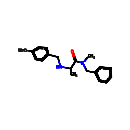 COc1ccc(CNC(C)C(=O)N(C)Cc2ccccc2)cc1